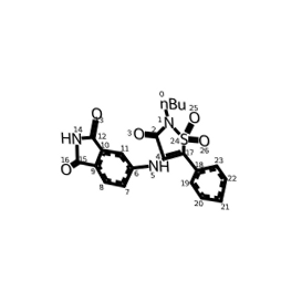 CCCCN1C(=O)C(Nc2ccc3c(c2)C(=O)NC3=O)=C(c2ccccc2)S1(=O)=O